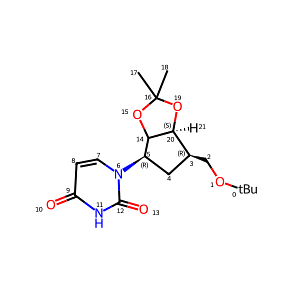 CC(C)(C)OC[C@H]1C[C@@H](n2ccc(=O)[nH]c2=O)C2OC(C)(C)O[C@H]21